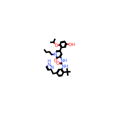 CCCCn1cc(-c2cc(O)ccc2OC(C)C)cc(NC(=O)Nc2cc(Cc3cc[nH]n3)ccc2C(C)(C)C)c1=O